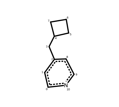 c1cc(CC2CCC2)ccn1